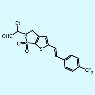 CCC(C=O)N1Cc2cc(C=Cc3ccc(C(F)(F)F)cc3)sc2S1(=O)=O